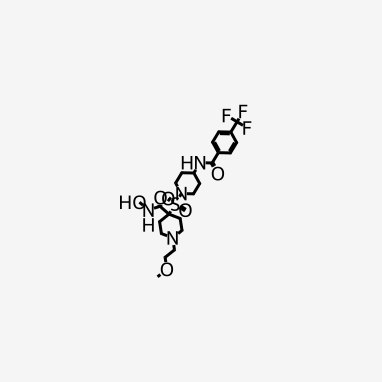 COCCN1CCC(C(=O)NO)(S(=O)(=O)N2CCC(NC(=O)c3ccc(C(F)(F)F)cc3)CC2)CC1